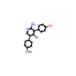 CCc1c(-c2ccc(OC)cc2)cnc(N)c1-c1ccc(O)cc1